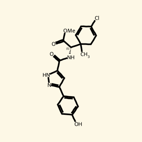 COC(=O)[C@@H](NC(=O)c1cc(-c2ccc(O)cc2)n[nH]1)C1(C)C=CC(Cl)=CC1